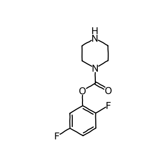 O=C(Oc1cc(F)ccc1F)N1CCNCC1